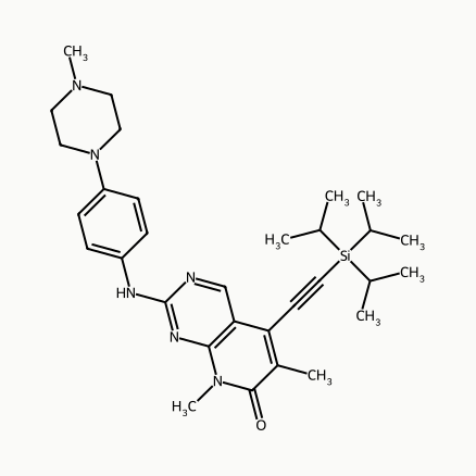 Cc1c(C#C[Si](C(C)C)(C(C)C)C(C)C)c2cnc(Nc3ccc(N4CCN(C)CC4)cc3)nc2n(C)c1=O